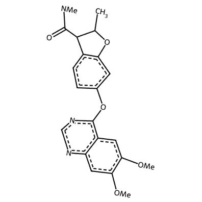 CNC(=O)C1c2ccc(Oc3ncnc4cc(OC)c(OC)cc34)cc2OC1C